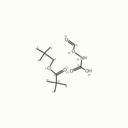 CC(C)(C)COC(=O)C(C)(C)C.O=CONC(=O)O